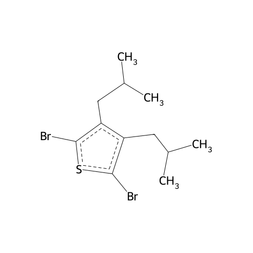 CC(C)Cc1c(Br)sc(Br)c1CC(C)C